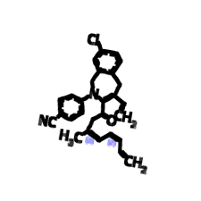 C=C/C=C\C=C(\C)CC(=O)C1=C(C=C)Cc2ccc(Cl)cc2CN1c1ccc(C#N)cc1